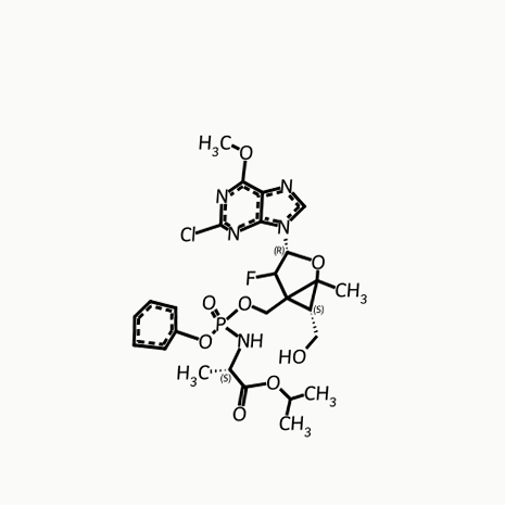 COc1nc(Cl)nc2c1ncn2[C@@H]1OC2(C)[C@H](CO)C2(COP(=O)(N[C@@H](C)C(=O)OC(C)C)Oc2ccccc2)C1F